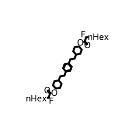 CCCCCCC(F)C(=O)OC1CCC(CCc2ccc(CCC3CCC(OC(=O)C(F)CCCCCC)CC3)cc2)CC1